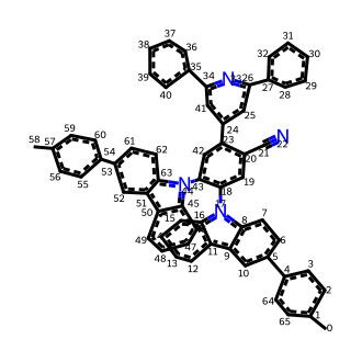 Cc1ccc(-c2ccc3c(c2)c2ccccc2n3-c2cc(C#N)c(-c3cc(-c4ccccc4)nc(-c4ccccc4)c3)cc2-n2c3ccccc3c3cc(-c4ccc(C)cc4)ccc32)cc1